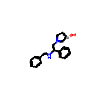 O[C@H]1CCN(CC(NCc2ccccc2)c2ccccc2)C1